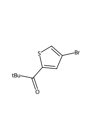 CC(C)(C)C(=O)c1cc(Br)cs1